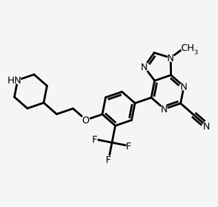 Cn1cnc2c(-c3ccc(OCCC4CCNCC4)c(C(F)(F)F)c3)nc(C#N)nc21